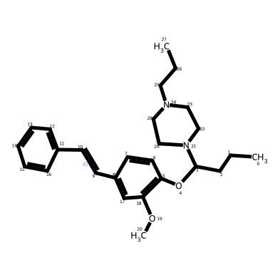 CCCC(Oc1ccc(/C=C/c2ccccc2)cc1OC)N1CCN(CCC)CC1